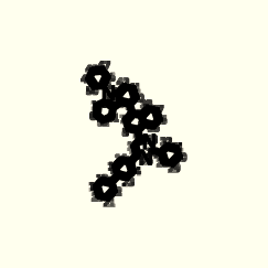 C1=Cc2c(c3c(-c4ccc(-c5cc(-c6ccc(-c7ccccc7)cc6)nc(-c6ccccc6)n5)c5ccccc45)cccc3n2-c2ccccc2)CC1